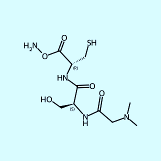 CN(C)CC(=O)N[C@@H](CO)C(=O)N[C@@H](CS)C(=O)ON